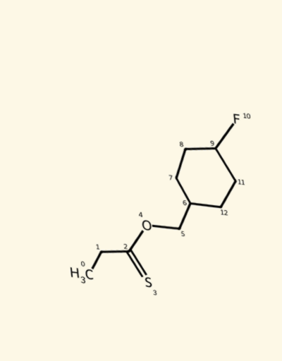 CCC(=S)OCC1CCC(F)CC1